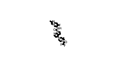 Cc1cn2cc(NC(=O)N3CCc4c(N5CCN(C(=O)C(F)F)C(C)(C)C5)ccnc43)c(F)cc2n1